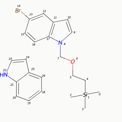 C[Si](C)(C)CCOCn1ccc2cc(Br)ccc21.c1ccc2[nH]ccc2c1